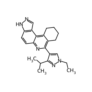 CCn1cc(-c2nc3ccc4[nH]ncc4c3c3c2CCCC3)c(C(C)C)n1